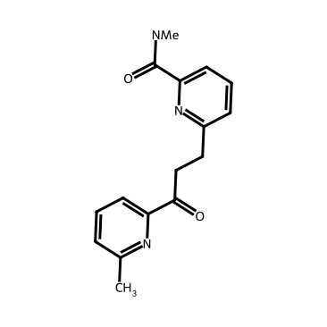 CNC(=O)c1cccc(CCC(=O)c2cccc(C)n2)n1